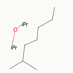 CC(C)OC(C)C.CCCCCC(C)C